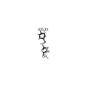 CCOC(=O)c1ccc(CSc2nnc(C)s2)cc1